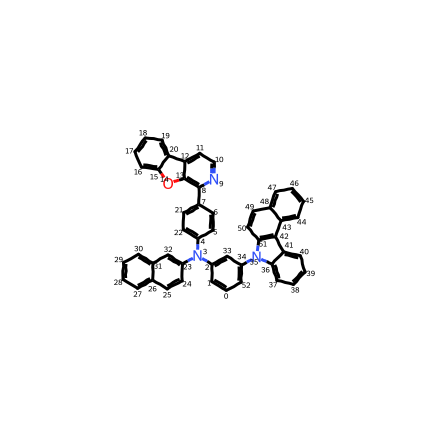 c1cc(N(c2ccc(-c3nccc4c3oc3ccccc34)cc2)c2ccc3ccccc3c2)cc(-n2c3ccccc3c3c4ccccc4ccc32)c1